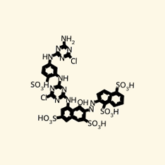 Nc1nc(Cl)nc(Nc2ccc(S(=O)(=O)O)c(Nc3nc(Cl)nc(Nc4cc(S(=O)(=O)O)cc5cc(S(=O)(=O)O)c(N=Nc6ccc7c(S(=O)(=O)O)cccc7c6S(=O)(=O)O)c(O)c45)n3)c2)n1